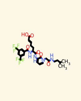 CC(C)CCNC(=O)Cn1cccc(NC(=O)C(CC/C=C/C(=O)O)NC(=O)c2cc(C(F)(F)F)cc(C(F)(F)F)c2)c1=O